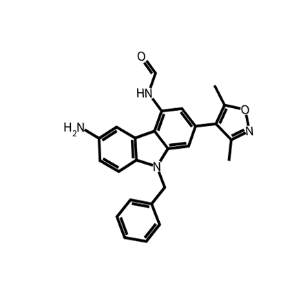 Cc1noc(C)c1-c1cc(NC=O)c2c3cc(N)ccc3n(Cc3ccccc3)c2c1